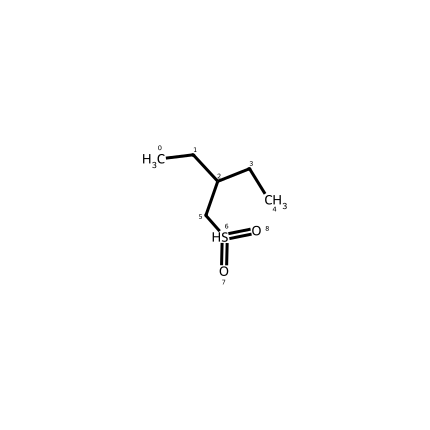 CCC(CC)C[SH](=O)=O